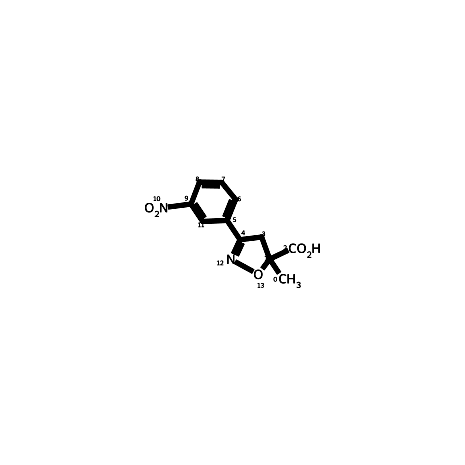 CC1(C(=O)O)CC(c2cccc([N+](=O)[O-])c2)=NO1